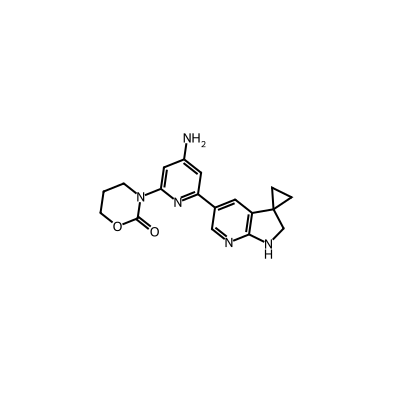 Nc1cc(-c2cnc3c(c2)C2(CC2)CN3)nc(N2CCCOC2=O)c1